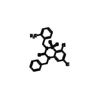 Cc1ccccc1CN1C(=O)N(Cc2ccccc2)c2cc(Cl)cc(Cl)c2S1(=O)=O